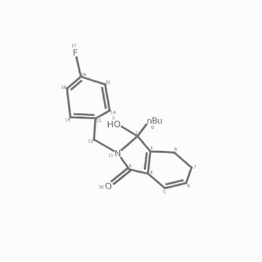 CCCCC1(O)C2=C(C=CCC2)C(=O)N1Cc1ccc(F)cc1